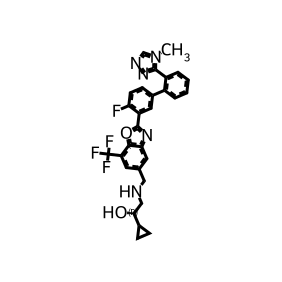 Cn1cnnc1-c1ccccc1-c1ccc(F)c(-c2nc3cc(CNC[C@H](O)C4CC4)cc(C(F)(F)F)c3o2)c1